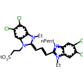 CCCCC[n+]1c(C=CC=C2N(CC)c3cc(Cl)c(Cl)cc3N2CCS(=O)(=O)O)n(CC)c2cc(Cl)c(Cl)cc21